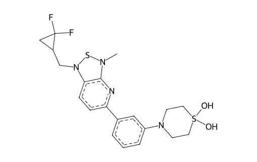 CN1SN(CC2CC2(F)F)c2ccc(-c3cccc(N4CCS(O)(O)CC4)c3)nc21